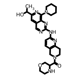 CC(O)c1cc2cnc(Nc3ccc4c(n3)CCN(C(=O)C3COCCN3)C4)nc2c(N2CCCCC2)n1